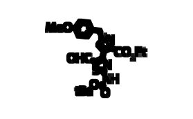 CCOC(=O)c1nn(Cc2ccc(OC)cc2)cc1-c1nc(NC(=O)OC(C)(C)C)sc1C=O